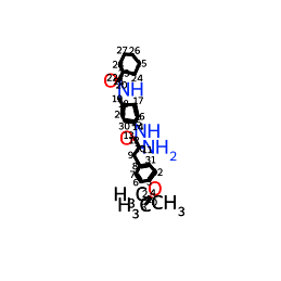 CC(C)(C)Oc1ccc(CC(N)C(=O)Nc2ccc(CNC(=O)C3CCCCC3)cc2)cc1